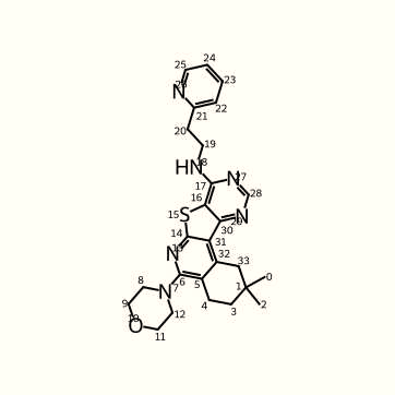 CC1(C)CCc2c(N3CCOCC3)nc3sc4c(NCCc5ccccn5)ncnc4c3c2C1